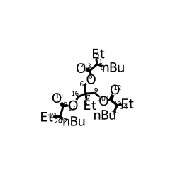 CCCCC(CC)C(=O)OCC(CC)(COC(=O)C(CC)CCCC)COC(=O)C(CC)CCCC